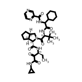 CC[C@H](NC(=O)[C@@H]1[C@H]2CCC[C@H]2CN1C(=O)[C@@H](NC(=O)C(NC(=O)c1cnccn1)C1CCCCC1)C(C)(C)C)C(=O)C(=O)NC1CC1